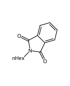 C[CH]CCCCN1C(=O)c2ccccc2C1=O